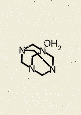 C1N2CN3CN1CN(C2)C3.O